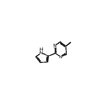 Cc1cnc(-c2ccc[nH]2)nc1